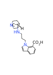 O=C(O)c1cccc2ccn(CCCN[C@@H]3CN4CCC3CC4)c12